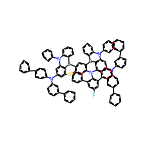 Fc1cc(-c2ccccc2)c(N2c3cc4c(cc3B3c5ccccc5N(c5ccccc5)c5cc(N(c6ccc(-c7ccccc7)cc6)c6cccc(-c7ccccc7)c6)cc2c53)B2c3ccccc3N(c3ccccc3)c3cc(N(c5ccc(-c6ccccc6)cc5)c5cccc(-c6ccccc6)c5)cc(c32)S4)c(-c2ccccc2)c1